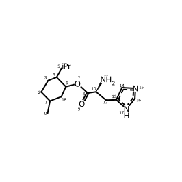 CC1CCC(C(C)C)C(OC(=O)[C@@H](N)Cc2cnc[nH]2)C1